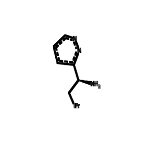 CC(C)C[C@H](N)c1cccnn1